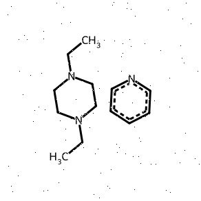 CCN1CCN(CC)CC1.c1ccncc1